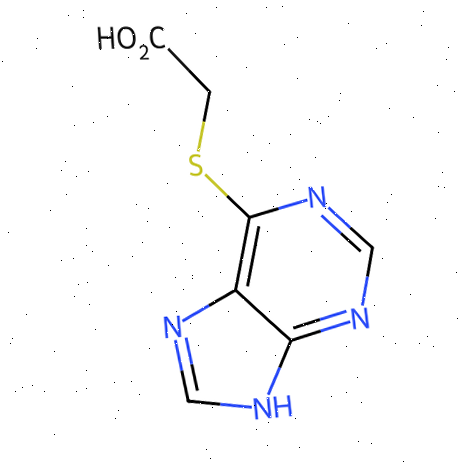 O=C(O)CSc1ncnc2[nH]cnc12